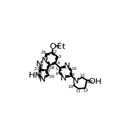 CCOc1cc(-c2cnc(N3CCCC(O)C3)cn2)c2c3cn[nH]c3nn2c1